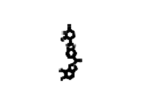 O=C1CCC(c2nc3ccc(C(=O)N4Cc5ccc(F)c(Cl)c5C4)cc3o2)C(=O)N1